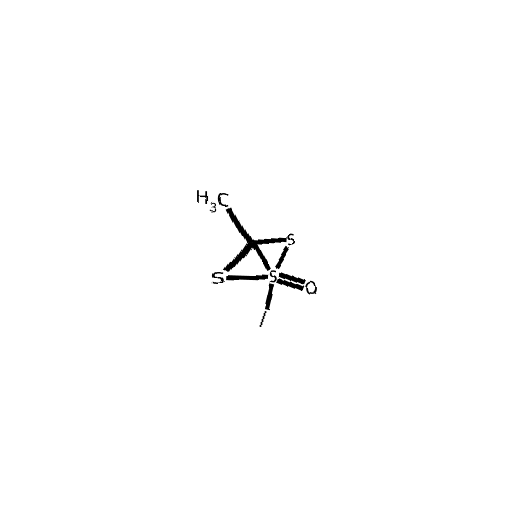 CC12SS1(=O)(I)S2